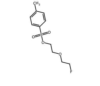 Cc1ccc(S(=O)(=O)OCCOCCF)cc1